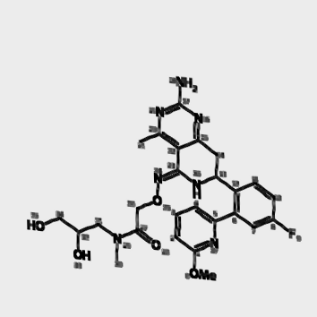 COc1cccc(-c2cc(F)ccc2C2Cc3nc(N)nc(C)c3C(=NOCC(=O)N(C)CC(O)CO)N2)n1